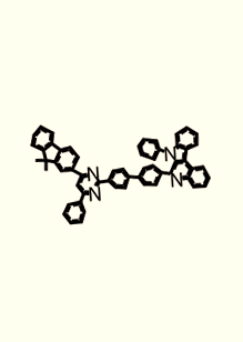 CC1(C)c2ccccc2-c2ccc(-c3cc(-c4ccccc4)nc(-c4ccc(-c5ccc(-c6nc7ccccc7c7c8ccccc8n(-c8ccccc8)c67)cc5)cc4)n3)cc21